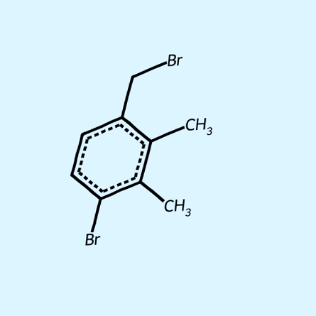 Cc1c(Br)ccc(CBr)c1C